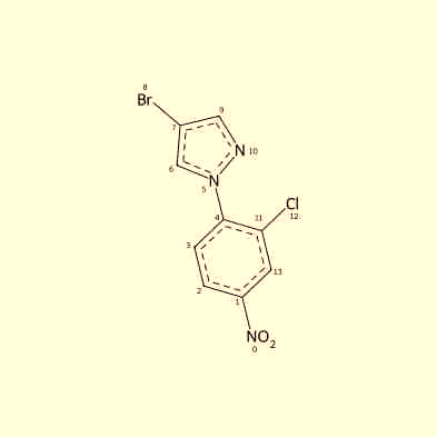 O=[N+]([O-])c1ccc(-n2cc(Br)cn2)c(Cl)c1